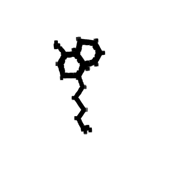 CCc1ccc(CCCCN)c2ccccc12